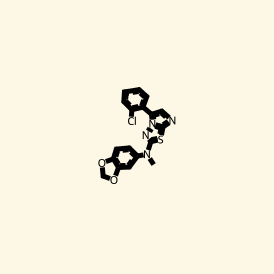 CN(c1ccc2c(c1)OCO2)c1nn2c(-c3ccccc3Cl)cnc2s1